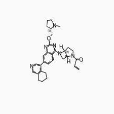 C=CC(=O)N1CC[C@@H]2[C@H]1CN2c1nc(OC[C@@H]2CCCN2C)nc2cc(-c3cncc4c3CCCC4)ccc12